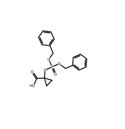 O=C(O)C1(OP(=O)(OCc2ccccc2)OCc2ccccc2)CC1